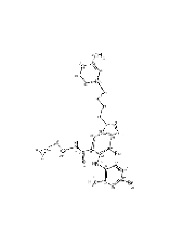 CC1=CN(CCCCn2cnc3c(F)c(Nc4ccc(Br)cc4C)c(C(=O)NOCC4CC4)cc32)CCO1